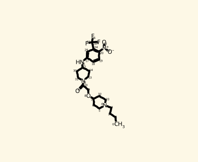 CCCCN1CCC(OCC(=O)N2CCC(Nc3ccc([N+](=O)[O-])c(C(F)(F)F)c3)CC2)CC1